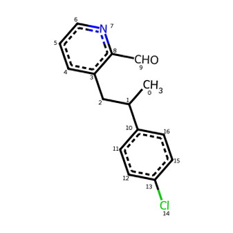 CC(Cc1cccnc1C=O)c1ccc(Cl)cc1